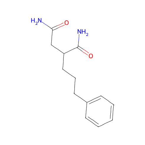 NC(=O)CC(CCCc1ccccc1)C(N)=O